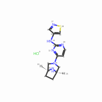 Cl.c1cc(N2C[C@H]3CC[C@@H](C2)N3)nc(Nc2cnsc2)n1